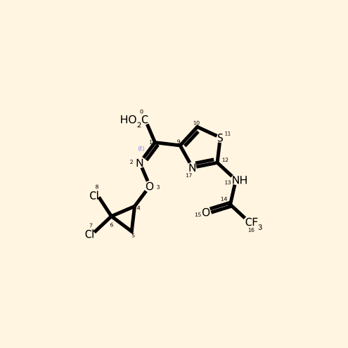 O=C(O)/C(=N/OC1CC1(Cl)Cl)c1csc(NC(=O)C(F)(F)F)n1